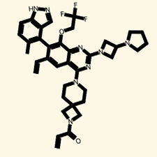 C=CC(=O)N1CC2(CCN(c3nc(N4CC(N5CCCC5)C4)nc4c(OCC(F)(F)F)c(-c5c(C)ccc6[nH]ncc56)c(C=C)cc34)CC2)C1